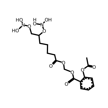 CC(=O)Oc1ccccc1C(=O)OCOC(=O)CCCCC(CON(O)O)ON(O)O